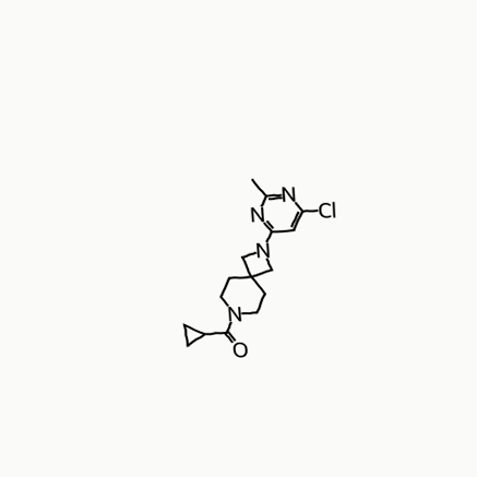 Cc1nc(Cl)cc(N2CC3(CCN(C(=O)C4CC4)CC3)C2)n1